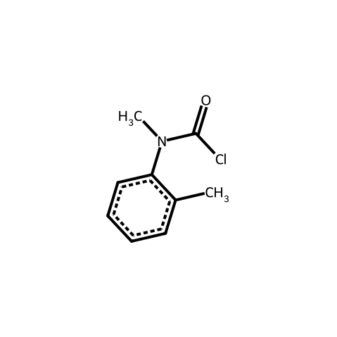 Cc1ccccc1N(C)C(=O)Cl